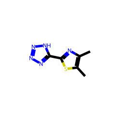 Cc1nc(-c2nnn[nH]2)sc1C